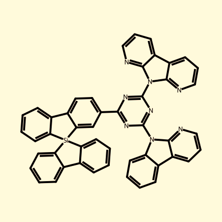 c1ccc2c(c1)-c1ccccc1[Si]21c2ccccc2-c2ccc(-c3nc(-n4c5ccccc5c5cccnc54)nc(-n4c5ncccc5c5cccnc54)n3)cc21